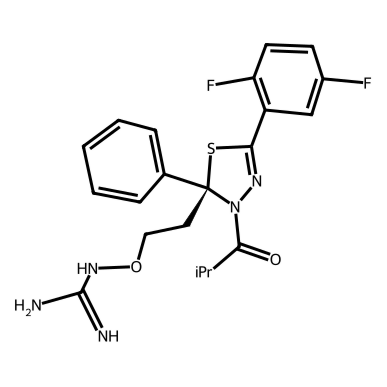 CC(C)C(=O)N1N=C(c2cc(F)ccc2F)S[C@@]1(CCONC(=N)N)c1ccccc1